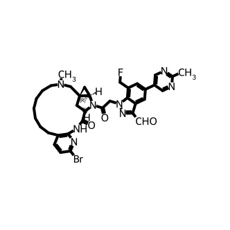 Cc1ncc(-c2cc(CF)c3c(c2)c(C=O)nn3CC(=O)N2[C@H]3C[C@]4(C[C@@H]24)CN(C)CCCCCCCc2ccc(Br)nc2NC3=O)cn1